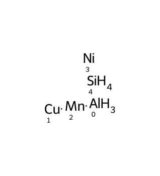 [AlH3].[Cu].[Mn].[Ni].[SiH4]